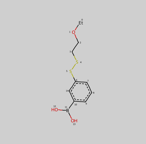 CCOCCSSc1cccc(B(O)O)c1